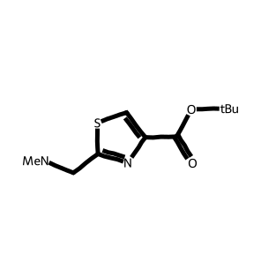 CNCc1nc(C(=O)OC(C)(C)C)cs1